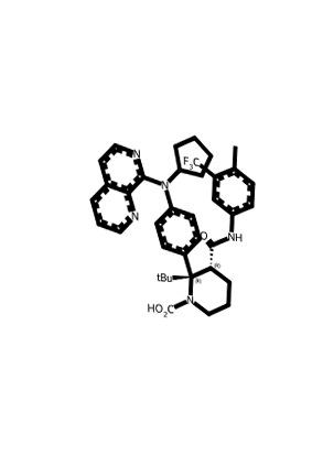 Cc1ccc(NC(=O)[C@@H]2CCCN(C(=O)O)[C@@]2(c2ccc(N(c3nccc4cccnc34)C3CCCC3)cc2)C(C)(C)C)cc1C(F)(F)F